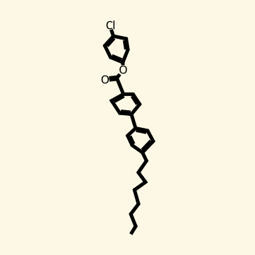 CCCCCCCCc1ccc(-c2ccc(C(=O)Oc3ccc(Cl)cc3)cc2)cc1